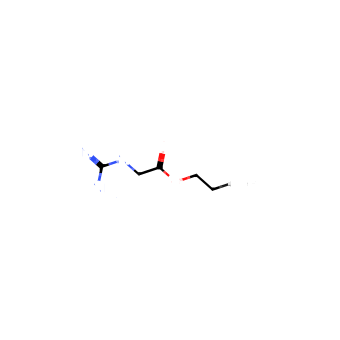 CCCCCCCOC(=O)CNC(=N)N